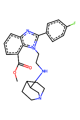 COC(=O)c1cccc2nc(-c3ccc(F)cc3)n(CCNC3CN4CCC3CC4)c12